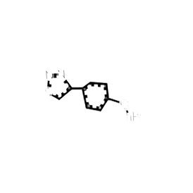 CCCOc1ccc(-c2csnn2)cc1